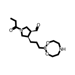 CCC(=O)N1C[C@H](CCCB2OCCNCCO2)[C@H](C=O)C1